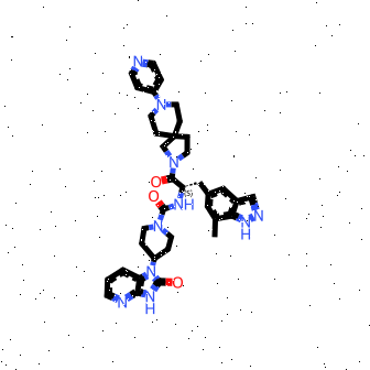 Cc1cc(C[C@H](NC(=O)N2CCC(n3c(=O)[nH]c4ncccc43)CC2)C(=O)N2CCC3(CCN(c4ccncc4)CC3)C2)cc2cn[nH]c12